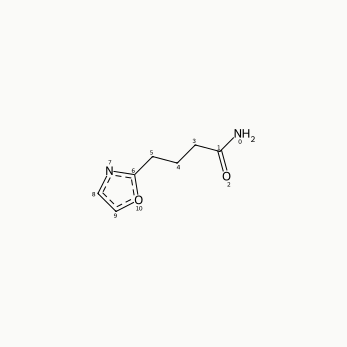 NC(=O)CCCc1ncco1